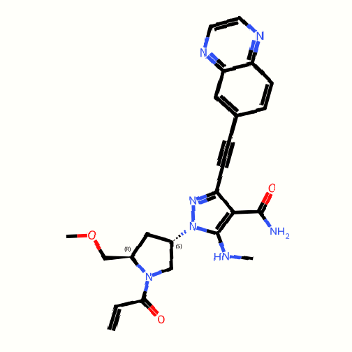 C=CC(=O)N1C[C@@H](n2nc(C#Cc3ccc4nccnc4c3)c(C(N)=O)c2NC)C[C@@H]1COC